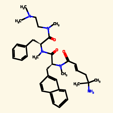 CN(C)CCN(C)C(=O)[C@@H](Cc1ccccc1)N(C)C(=O)[C@@H](Cc1ccc2ccccc2c1)N(C)C(=O)/C=C/CC(C)(C)N